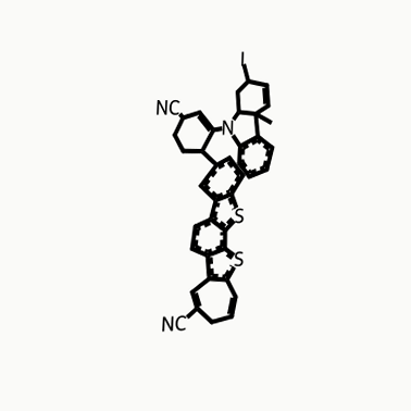 CC12C=CC(I)CC1N(C1=CC(C#N)CCC1c1ccc3sc4c(ccc5c6c(sc54)C=CCC(C#N)=C6)c3c1)c1ccccc12